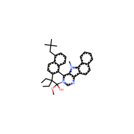 CCC1(CC)c2ccc3c(CC(C)(C)C)cccc3c2-c2c3c(nc[n+]2C1(O)OC)c1ccc2ccccc2c1n3C